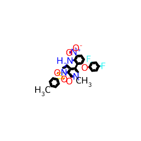 Cc1ccc(S(=O)(=O)n2ccc3c(-c4c(Oc5ccc(F)cc5F)ccc([N+](=O)[O-])c4N)cn(C)c(=O)c32)cc1